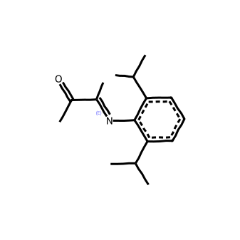 CC(=O)/C(C)=N/c1c(C(C)C)cccc1C(C)C